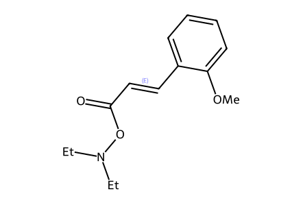 CCN(CC)OC(=O)/C=C/c1ccccc1OC